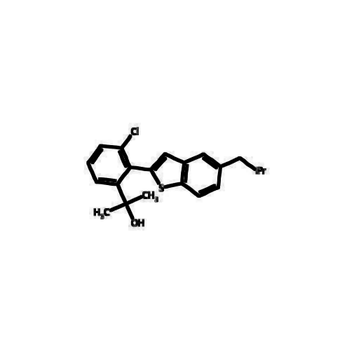 CC(C)Cc1ccc2sc(-c3c(Cl)cccc3C(C)(C)O)cc2c1